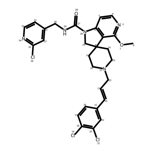 COc1nccc2c1C1(CCN(CC=Cc3ccc(Cl)c(Cl)c3)CC1)CN2C(=O)NCc1ccnc(Cl)c1